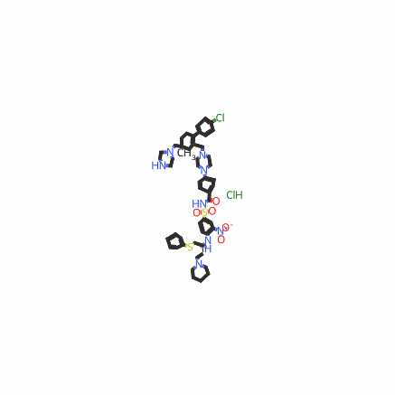 CC1(CN2CCNCC2)CCC(c2ccc(Cl)cc2)=C(CN2CCN(c3ccc(C(=O)NS(=O)(=O)c4ccc(N[C@H](CCN5CCCCC5)CSc5ccccc5)c([N+](=O)[O-])c4)cc3)CC2)C1.Cl